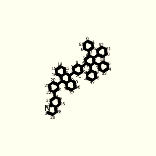 c1ccc(-c2cc(-c3ccc(-c4c5ccccc5c(-c5cccc(-c6ccc7cccnc7c6)c5)c5ccccc45)cc3)c(-c3ccccc3)c(-c3ccccc3)c2-c2ccccc2)cc1